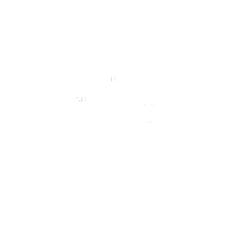 NCC(CS(=O)(=O)O)C(CO)(CO)CO